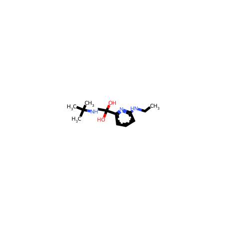 CCNc1cccc(C(O)(O)CNC(C)(C)C)n1